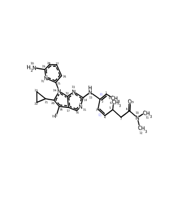 C/C=C(\C=C/C(C)CC(=O)N(C)C)Nc1ncc2c(F)c(C3CC3)n(-c3cccc(N)n3)c2n1